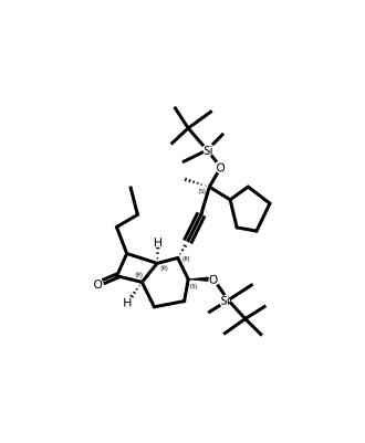 CCCC1C(=O)[C@@H]2CC[C@H](O[Si](C)(C)C(C)(C)C)[C@@H](C#C[C@@](C)(O[Si](C)(C)C(C)(C)C)C3CCCC3)[C@H]12